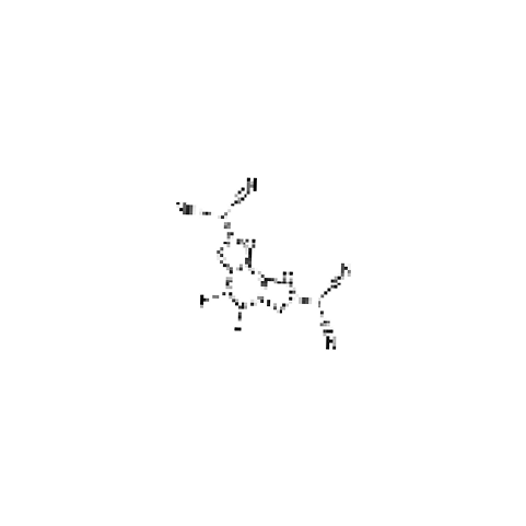 N#CC(C#N)=c1cc2c(F)c(F)c3cc(=C(C#N)C#N)oc3c2o1